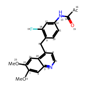 COc1cc2nccc(Cc3ccc(NC(=O)C(C)=O)cc3F)c2cc1OC